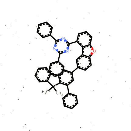 CC1(C)c2ccccc2-c2cc(-c3ccc4oc5cccc(-c6nc(-c7ccccc7)nc(-c7ccccc7)n6)c5c4c3)cc(-c3ccccc3)c21